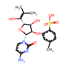 CC(C)=C(O)[C@H]1O[C@@H](n2ccc(N)nc2=O)[C@H](O)[C@@H]1O.Cc1ccc(S(=O)(=O)O)cc1